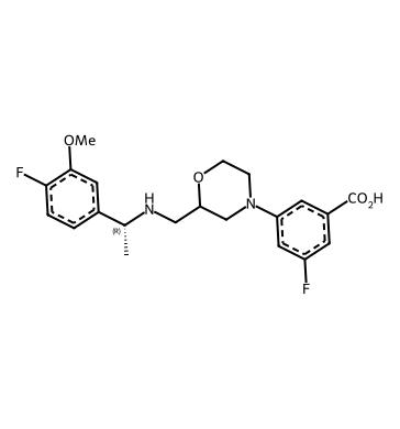 COc1cc([C@@H](C)NCC2CN(c3cc(F)cc(C(=O)O)c3)CCO2)ccc1F